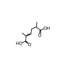 C/C(=C\CC(C)C(=O)O)C(=O)O